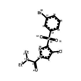 CCN(CC)C(=O)n1cc(Cl)c(S(=O)(=O)c2cccc(Br)c2)n1